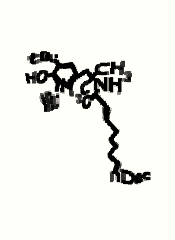 CCCCCCCCCCCCCCCCCC(=O)NC(C)(C)Cc1cc(C(C)(C)C)c(O)c(C(C)(C)C)c1